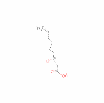 C=CCCCC[C@@H](O)CC(=O)O